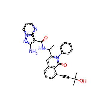 CC(NC(=O)c1c(N)nn2cccnc12)c1cc2cccc(C#CC(C)(C)O)c2c(=O)n1-c1ccccc1